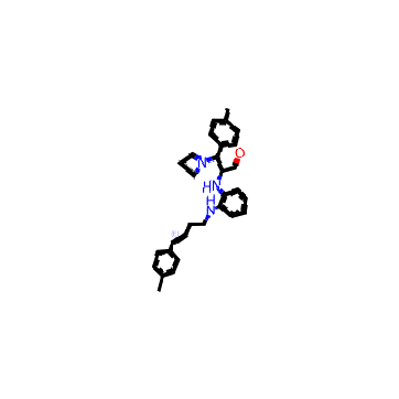 Cc1ccc(/C=C/CCNc2ccccc2NC(C=O)C(c2ccc(C)cc2)N2CCC2)cc1